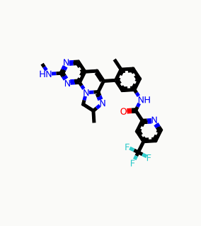 CNc1ncc2c(n1)N1CC(C)N=C1C(c1cc(NC(=O)c3cc(C(F)(F)F)ccn3)ccc1C)=C2